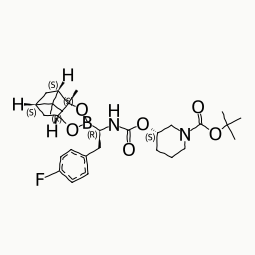 CC(C)(C)OC(=O)N1CCC[C@H](OC(=O)N[C@@H](Cc2ccc(F)cc2)B2O[C@@H]3C[C@@H]4C[C@@H](C4(C)C)[C@]3(C)O2)C1